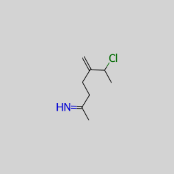 C=C(CCC(C)=N)C(C)Cl